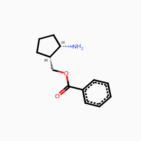 N[C@H]1CCC[C@H]1COC(=O)c1ccccc1